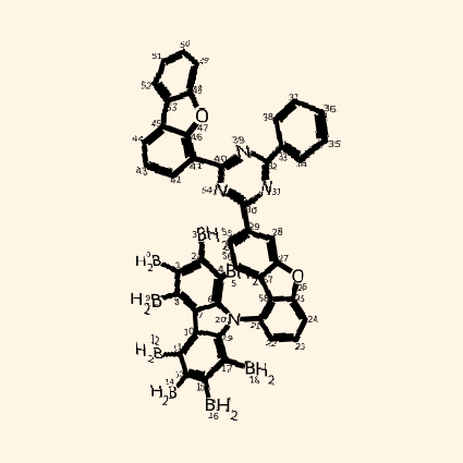 Bc1c(B)c(B)c2c(c1B)c1c(B)c(B)c(B)c(B)c1n2-c1cccc2oc3cc(-c4nc(-c5ccccc5)nc(-c5cccc6c5oc5ccccc56)n4)ccc3c12